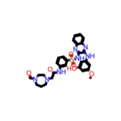 COc1cc(O)cc(Nc2nc3ccccc3nc2NS(=O)(=O)c2cccc(NC(=O)CN3CCCN(C=O)CC3)c2)c1